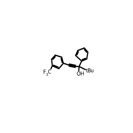 CC(C)(C)C(O)(C#Cc1cccc(C(F)(F)F)c1)c1ccccc1